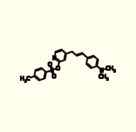 Cc1ccc(S(=O)(=O)Oc2cc(CC=Cc3ccc(N(C)C)cc3)ccn2)cc1